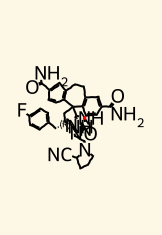 N#CC1CCCN1C(=O)CN[C@H](Cc1ccc(F)cc1)CC1(c2nnn[nH]2)c2ccc(C(N)=O)cc2CCc2cc(C(N)=O)ccc21